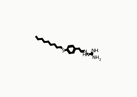 CCCCCCCCCSc1ccc(CC=NNC(=N)N)cc1